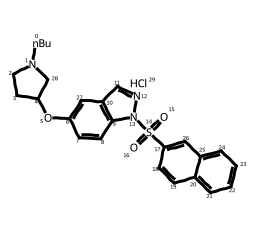 CCCCN1CCC(Oc2ccc3c(cnn3S(=O)(=O)c3ccc4ccccc4c3)c2)C1.Cl